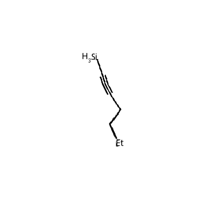 CCCCC#C[SiH3]